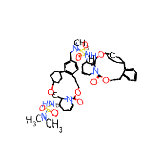 CN(C)S(=O)(=O)N[C@H]1CCCN2C(=O)OCCc3ccc(CN(C)S(=O)(=O)NC4CCCN5C(=O)OCCc6ccccc6C6CCC(CC6)OC[C@@H]45)cc3C3CCC(CC3)OCC12